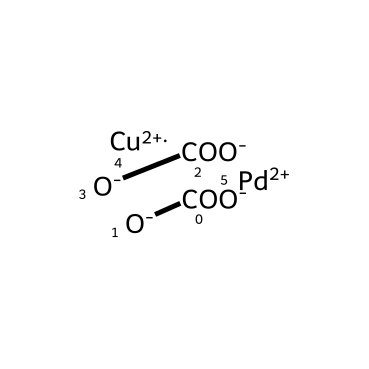 O=C([O-])[O-].O=C([O-])[O-].[Cu+2].[Pd+2]